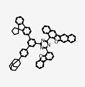 c1ccc2c(c1)-c1ccc(-c3cc(-c4ccc(C56CC7CC(CC(C7)C5)C6)cc4)cc(-c4nc(-c5cccc6c5oc5ccccc56)nc(-c5c6ccccc6cc6c5oc5cc7ccccc7cc56)n4)c3)cc1C21CCCC1